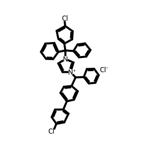 Clc1ccc(-c2ccc(C(c3ccccc3)[n+]3ccn(C(c4ccccc4)(c4ccccc4)c4ccc(Cl)cc4)c3)cc2)cc1.[Cl-]